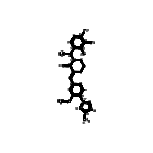 COc1cc(C=C2CCCN([C@@H](C)c3ccc(F)c(F)c3F)C2=O)ccc1-n1cnc(C)n1